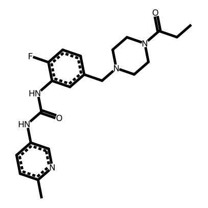 CCC(=O)N1CCN(Cc2ccc(F)c(NC(=O)Nc3ccc(C)nc3)c2)CC1